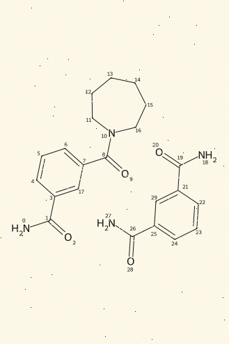 NC(=O)c1cccc(C(=O)N2CCCCCC2)c1.NC(=O)c1cccc(C(N)=O)c1